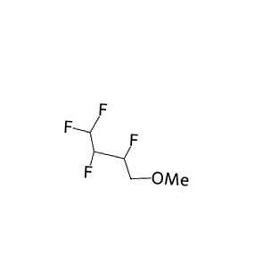 COCC(F)C(F)C(F)F